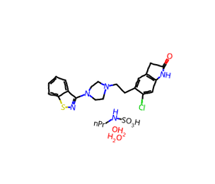 CCCNS(=O)(=O)O.O.O.O=C1Cc2cc(CCN3CCN(c4nsc5ccccc45)CC3)c(Cl)cc2N1